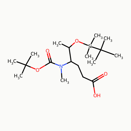 CC(O[Si](C)(C)C(C)(C)C)C(CCC(=O)O)N(C)C(=O)OC(C)(C)C